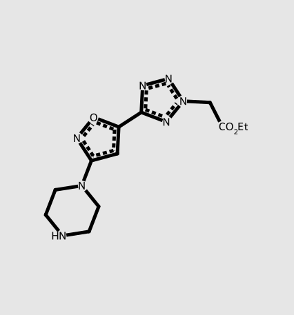 CCOC(=O)Cn1nnc(-c2cc(N3CCNCC3)no2)n1